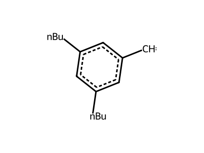 [CH]c1cc(CCCC)cc(CCCC)c1